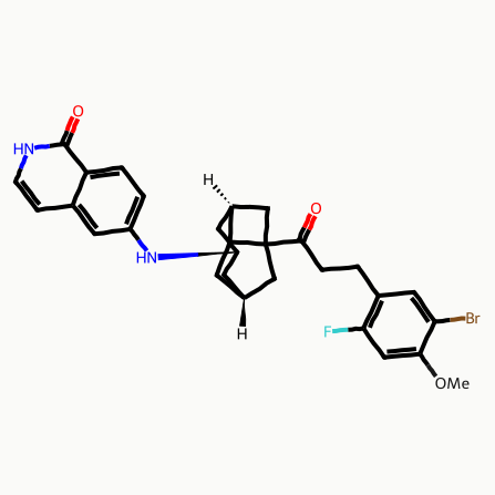 COc1cc(F)c(CCC(=O)C23C[C@@H]4CC2[C@@H](C[C@@H](Nc2ccc5c(=O)[nH]ccc5c2)C4)C3)cc1Br